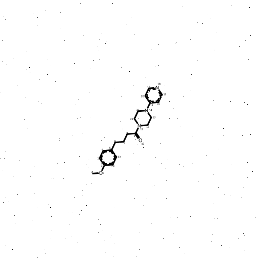 COc1ccc(CCCC(=O)N2CCN(c3ccncc3)CC2)cc1